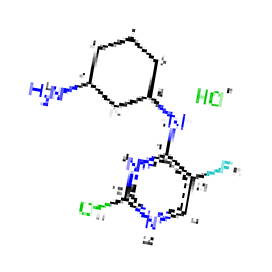 Cl.NC1CCCC(Nc2nc(Cl)ncc2F)C1